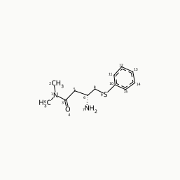 CN(C)C(=O)C[C@@H](N)CSc1ccccc1